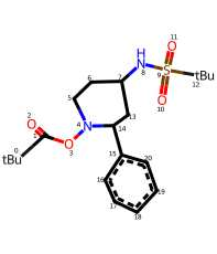 CC(C)(C)C(=O)ON1CCC(NS(=O)(=O)C(C)(C)C)CC1c1ccccc1